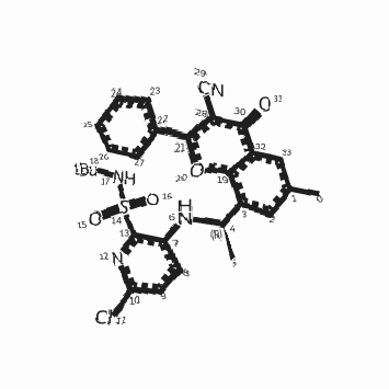 Cc1cc([C@@H](C)Nc2ccc(Cl)nc2S(=O)(=O)NC(C)(C)C)c2oc(-c3ccccc3)c(C#N)c(=O)c2c1